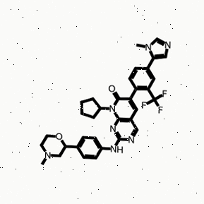 CN1CCOC(c2ccc(Nc3ncc4cc(-c5ccc(-c6cncn6C)cc5C(F)(F)F)c(=O)n(C5CCCC5)c4n3)cc2)C1